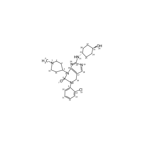 CN1CCC(N2C(=O)N(c3ccccc3Cl)Cc3cnc(N[C@H]4CC[C@H](O)CC4)nc32)CC1